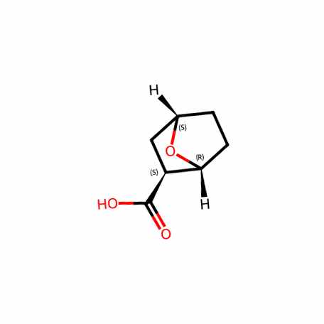 O=C(O)[C@H]1C[C@@H]2CC[C@H]1O2